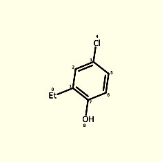 [CH2]Cc1cc(Cl)ccc1O